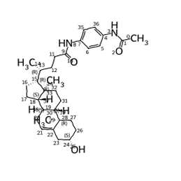 CC(=O)Nc1ccc(NC(=O)CC[C@@H](C)[C@H]2CC[C@H]3[C@@H]4CC=C5C[C@@H](O)CC[C@]5(C)[C@H]4CC[C@]23C)cc1